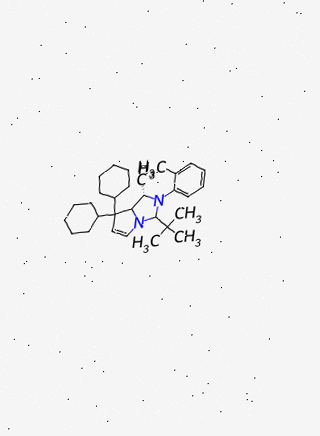 Cc1ccccc1N1C(C(C)(C)C)N2C=CC(C3CCCCC3)(C3CCCCC3)C2[C@@H]1C